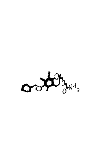 Cc1c(C)c2c(c(C)c1OCc1ccccc1)CCC(C)(COCC(N)=O)O2